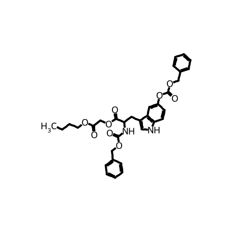 CCCCOC(=O)COC(=O)C(Cc1c[nH]c2ccc(OC(=O)OCc3ccccc3)cc12)NC(=O)OCc1ccccc1